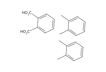 Cc1ccccc1C.Cc1ccccc1C.O=C(O)c1ccccc1C(=O)O